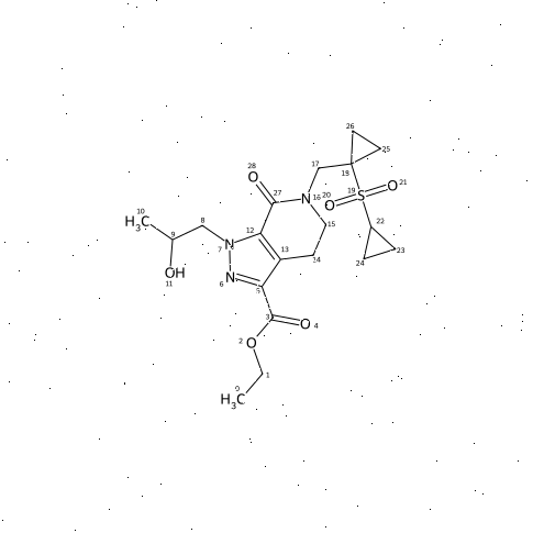 CCOC(=O)c1nn(CC(C)O)c2c1CCN(CC1(S(=O)(=O)C3CC3)CC1)C2=O